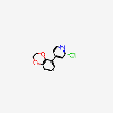 Clc1cc(-c2c[c]cc3c2OCCO3)ccn1